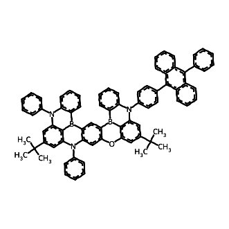 CC(C)(C)c1cc2c3c(c1)N(c1ccc(-c4c5ccccc5c(-c5ccccc5)c5ccccc45)cc1)c1ccccc1B3c1cc3c(cc1O2)N(c1ccccc1)c1cc(C(C)(C)C)cc2c1B3c1ccccc1N2c1ccccc1